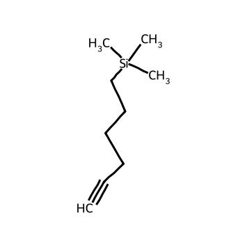 C#CCCCC[Si](C)(C)C